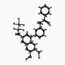 COc1cc2nc(NC(C)(C)C(C)(C)C)nc(-c3cccc(NC(=O)c4ccccc4)c3)c2cc1OC